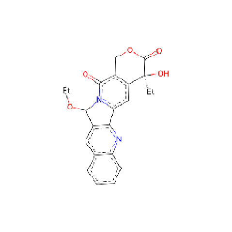 CCOC1c2cc3ccccc3nc2-c2cc3c(c(=O)n21)COC(=O)[C@]3(O)CC